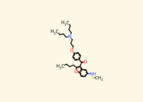 CCCCc1oc2ccc(NSC)cc2c1C(=O)c1ccc(OCCCN(CCCC)CCCC)cc1